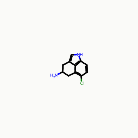 NC1Cc2c[nH]c3ccc(Cl)c(c23)C1